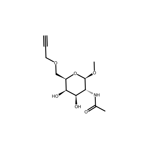 C#CCOC[C@H]1O[C@@H](OC)[C@H](NC(C)=O)[C@@H](O)[C@H]1O